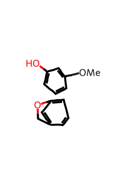 COc1cccc(O)c1.c1cc2cc(c1)OC2